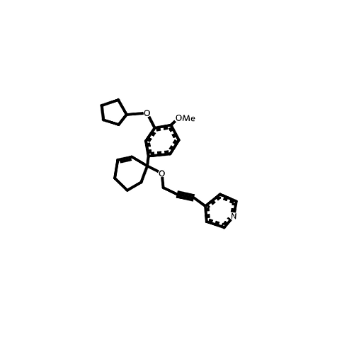 COc1ccc(C2(OCC#Cc3ccncc3)C=CCCC2)cc1OC1CCCC1